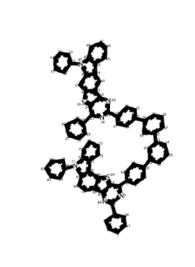 c1ccc(-c2nc(-c3ccc(-c4cccc(-c5cccc(-c6ccc(-c7nc(-c8ccccc8)c8sc9cc%10c(cc9c8n7)c7ccccc7n%10-c7ccccc7)cc6)c5)c4)cc3)c3sc4c(ccc5c4c4ccccc4n5-c4ccccc4)c3n2)cc1